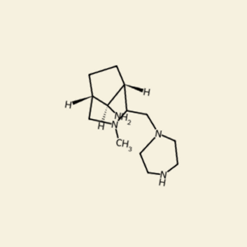 CN1C[C@@H]2CC[C@H](C1CN1CCNCC1)[C@H]2N